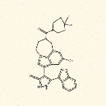 N#Cc1cc2c3c(c1)c(-c1c(-c4cnc5ccccn45)[nH][nH]c1=O)cn3CCN(C(=O)N1CCC(F)(F)CC1)C2